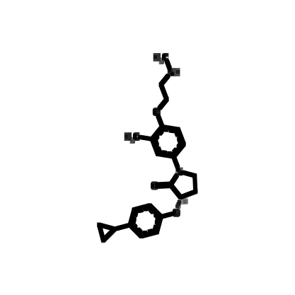 CNCCOc1ccc(N2CC[C@H](Oc3ccc(C4CC4)cc3)C2=O)cc1C